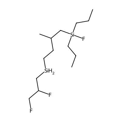 CCC[Si](F)(CCC)CC(C)CC[SiH2]CC(F)CF